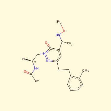 COc1ccccc1CCc1cc(C(C)NOC(C)C)c(=O)n(C[C@@H](NC(=O)C(C)C)C(C)C)n1